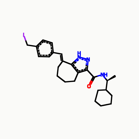 C[C@H](NC(=O)c1n[nH]c2c1CCCC/C2=C\c1ccc(CI)cc1)C1CCCCC1